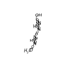 COc1ccc(-c2cc(Nc3ccnc(N4CCC(COc5ccc(-c6cc(Nc7ccnc(N8CCC(CCO)CC8)n7)on6)cc5)C4)n3)on2)cc1